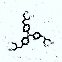 OCC(CO)Cc1ccc(N(c2ccc(CC(CO)CO)cc2)c2ccc(CC(CO)CO)cc2)cc1